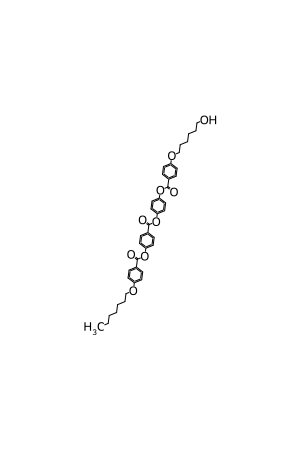 CCCCCCCOc1ccc(C(=O)Oc2ccc(C(=O)Oc3ccc(OC(=O)c4ccc(OCCCCCCO)cc4)cc3)cc2)cc1